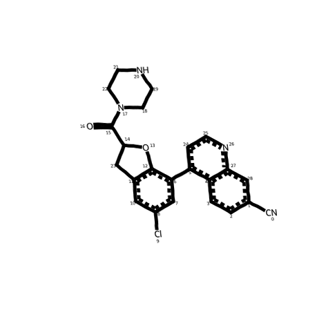 N#Cc1ccc2c(-c3cc(Cl)cc4c3OC(C(=O)N3CCNCC3)C4)ccnc2c1